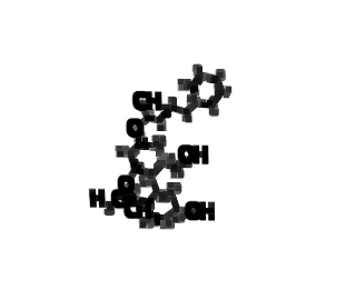 CC(CCCc1ccccc1)Oc1cc(CO)c2c(c1)OC(C)(C)C1CCC(O)CC21